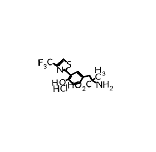 C[C@](N)(Cc1ccc(O)c(-c2nc(C(F)(F)F)cs2)c1)C(=O)O.Cl